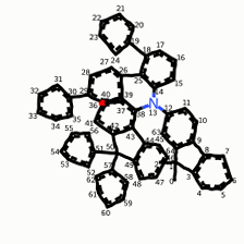 CC1(C)c2ccccc2-c2ccc(N(c3cccc(-c4ccccc4)c3-c3ccc(-c4ccccc4)cc3)c3cccc4c3-c3ccccc3C4(c3ccccc3)c3ccccc3)cc21